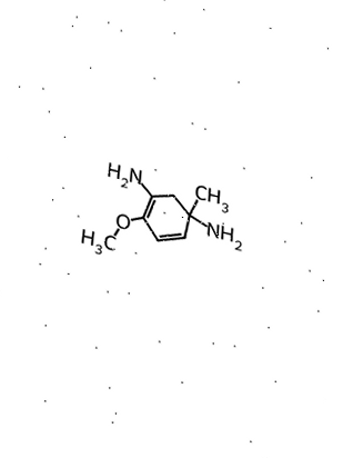 COC1=C(N)CC(C)(N)C=C1